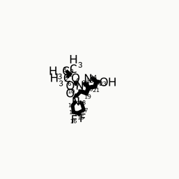 CC(C)(C)OC(=O)n1c(C(=O)N2CCC(F)(F)CC2)cc2cc(O)cnc21